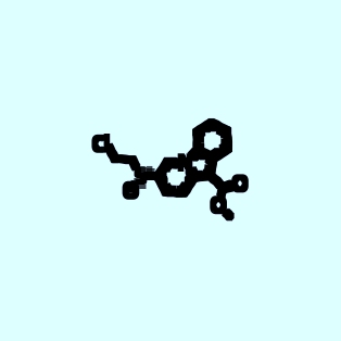 COC(=O)c1c2ccccc2n2cc([S+]([O-])CCCl)ccc12